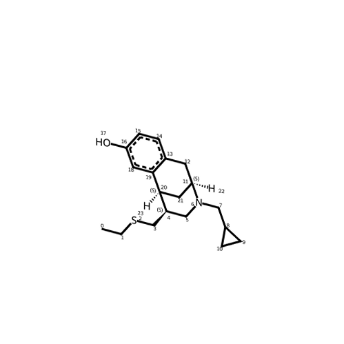 CCSC[C@@H]1CN(CC2CC2)[C@@H]2Cc3ccc(O)cc3[C@H]1C2